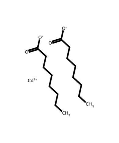 CCCCCCCC(=O)[O-].CCCCCCCC(=O)[O-].[Cd+2]